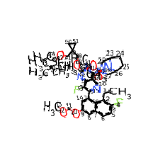 CCc1c(F)ccc2cc(OCOC)cc(-c3ncc4c(N5CC6CCC(C5)N6C(=O)OC(C)(C)C)nc(OCC5(CO[Si](C)(C)C(C)(C)C)CC5)nc4c3F)c12